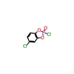 O=P1(Cl)Oc2ccc(Cl)cc2O1